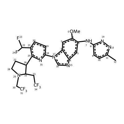 COc1cc2c(cc1Nc1ccc(C)nn1)ncn2-c1ccc(C(F)F)c(C2CCN(CC(F)(F)F)C2CC(F)(F)F)n1